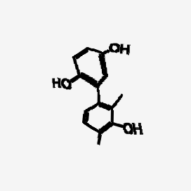 Cc1ccc(-c2cc(O)ccc2O)c(C)c1O